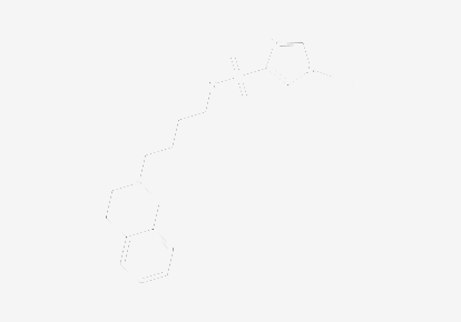 Cl.Cn1cnc(S(=O)(=O)NCCCCN2CCc3ccccc3C2)c1